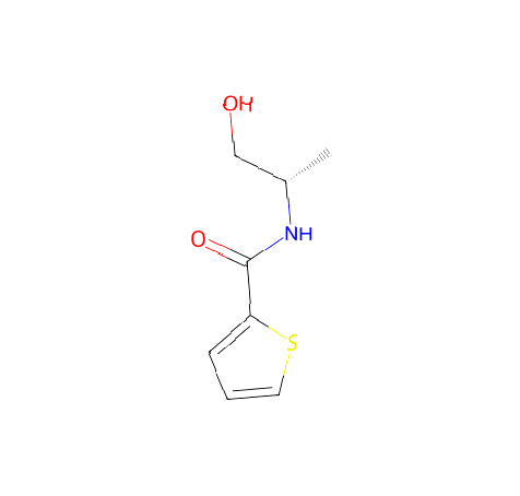 C[C@@H](CO)NC(=O)c1cccs1